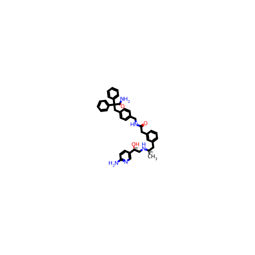 C[C@H](Cc1cccc(CC(=O)NCc2ccc(CC(C(N)=O)(c3ccccc3)c3ccccc3)cc2)c1)NC[C@H](O)c1ccc(N)nc1